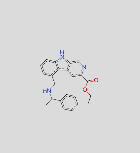 CCOC(=O)c1cc2c(cn1)[nH]c1cccc(CNC(C)c3ccccc3)c12